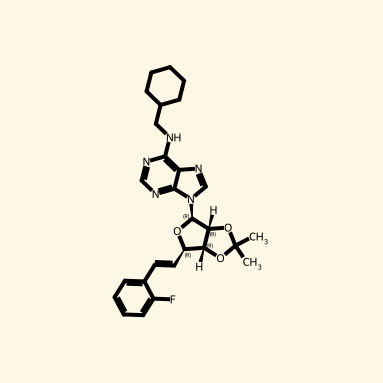 CC1(C)O[C@@H]2[C@H](O1)[C@@H](C=Cc1ccccc1F)O[C@H]2n1cnc2c(NCC3CCCCC3)ncnc21